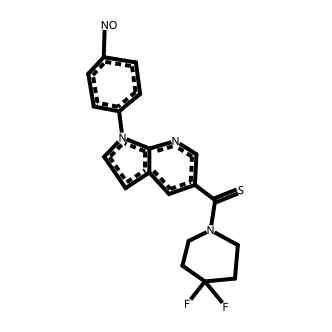 O=Nc1ccc(-n2ccc3cc(C(=S)N4CCC(F)(F)CC4)cnc32)cc1